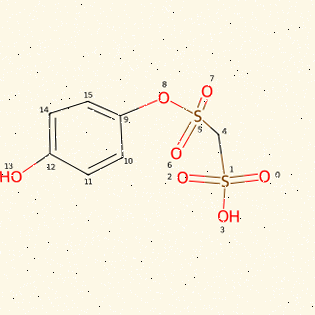 O=S(=O)(O)CS(=O)(=O)Oc1ccc(O)cc1